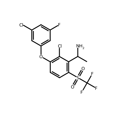 CC(N)c1c(S(=O)(=O)C(F)(F)F)ccc(Oc2cc(F)cc(Cl)c2)c1Cl